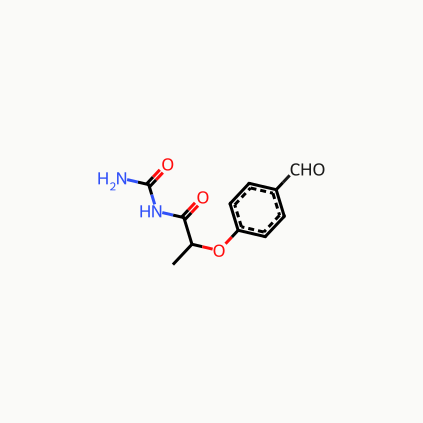 CC(Oc1ccc(C=O)cc1)C(=O)NC(N)=O